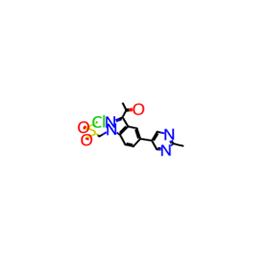 CC(=O)c1nn(CS(=O)(=O)Cl)c2ccc(-c3cnc(C)nc3)cc12